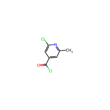 Cc1cc(C(=O)Cl)cc(Cl)n1